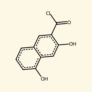 O=C(Cl)c1cc2cccc(O)c2cc1O